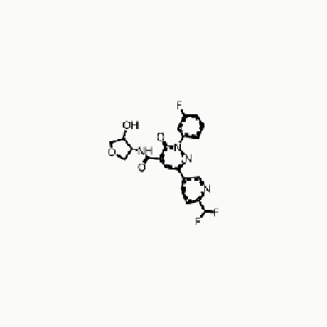 O=C(N[C@H]1COC[C@H]1O)c1cc(-c2ccc(C(F)F)nc2)nn(-c2cccc(F)c2)c1=O